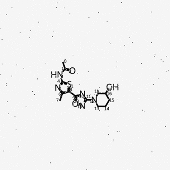 CC(=O)Nc1nc(C)c(-c2nc(N3CCCC(O)C3)no2)s1